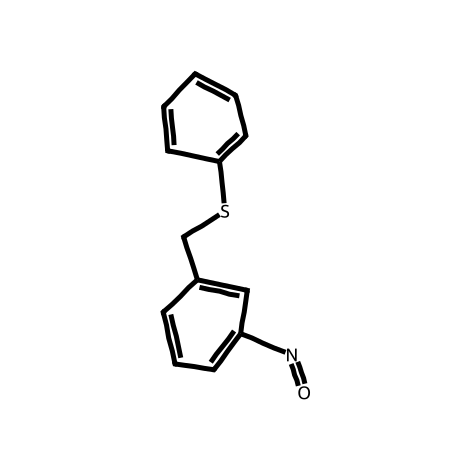 O=Nc1cccc(CSc2ccccc2)c1